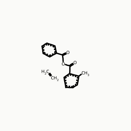 C=C.Cc1ccccc1C(=O)OC(=O)c1ccccc1